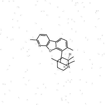 Cc1ccc2c(n1)oc1c(C3[C@@H](C)N4CCC3(C)CC4C)c(C)ccc12